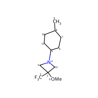 COC1(C(F)(F)F)CN(C2CCC(C)CC2)C1